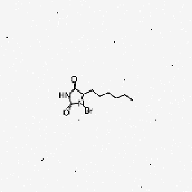 CCCCCCC1C(=O)NC(=O)N1Br